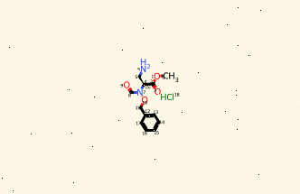 COC(=O)[C@H](CN)N(C=O)OCc1ccccc1.Cl